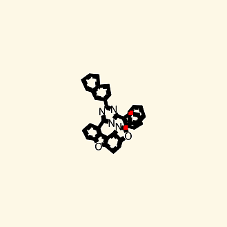 c1ccc(-c2nc(-c3ccc4ccccc4c3)nc(-c3cccc4oc5ccc6oc(-c7ccccc7)nc6c5c34)n2)cc1